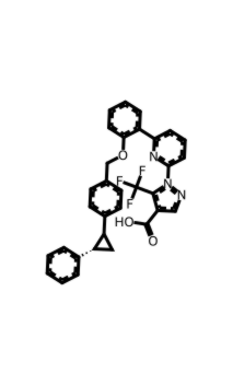 O=C(O)c1cnn(-c2cccc(-c3ccccc3OCc3ccc(C4C[C@@H]4c4ccccc4)cc3)n2)c1C(F)(F)F